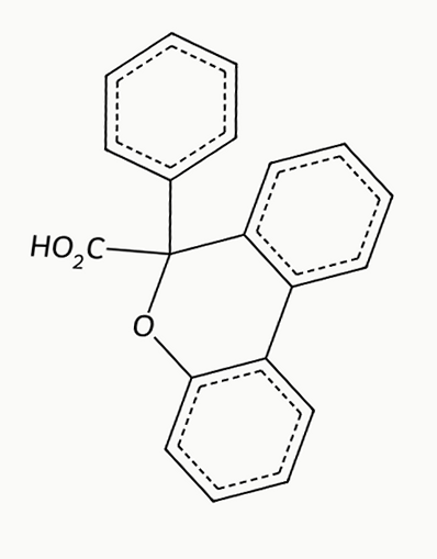 O=C(O)C1(c2ccccc2)Oc2ccccc2-c2ccccc21